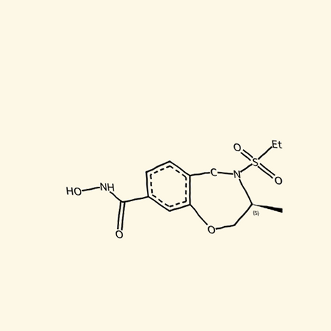 CCS(=O)(=O)N1Cc2ccc(C(=O)NO)cc2OC[C@@H]1C